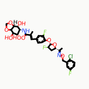 C/C(=C\c1ccc(O[C@@H]2O[C@H](/C(C)=N/OCc3cc(F)ccc3Cl)C[C@H]2F)c(F)c1)C(=O)N[C@@H]1C(O)C(O)C2OCO[C@H]2[C@@H]1O